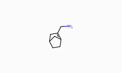 NCC1=C2CCC(C1)C2